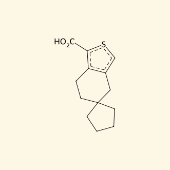 O=C(O)c1scc2c1CCC1(CCCC1)C2